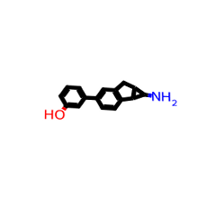 NC1C2Cc3cc(-c4cccc(O)c4)ccc3C12